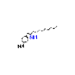 CCCCCCCCCc1cc2cc[c]([Na])cc2[nH]1